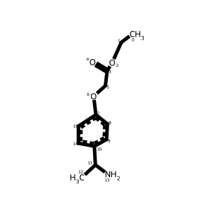 CCOC(=O)COc1ccc(C(C)N)cc1